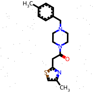 Cc1ccc(CN2CCN(C(=O)Cc3nc(C)cs3)CC2)cc1